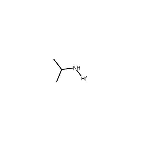 CC(C)[NH][Hf]